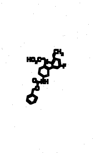 C=Cc1cc(F)cc2c3c(n(CC(=O)O)c12)CC[C@@H](NC(=O)OCc1ccccc1)C3